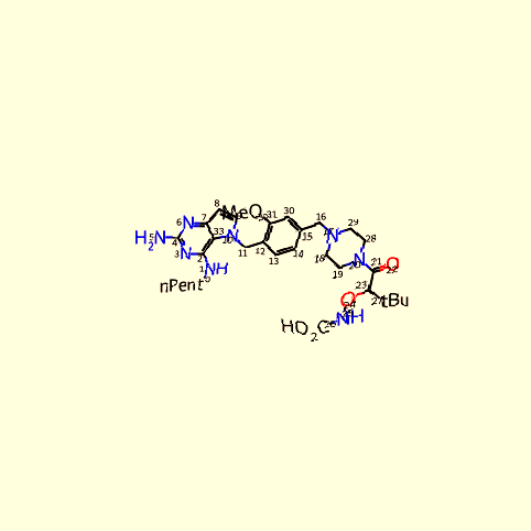 CCCCCNc1nc(N)nc2ccn(Cc3ccc(CN4CCN(C(=O)C(ONC(=O)O)C(C)(C)C)CC4)cc3OC)c12